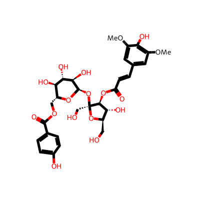 COc1cc(/C=C/C(=O)O[C@H]2[C@H](O)[C@@H](CO)O[C@@]2(CO)O[C@H]2O[C@H](COC(=O)c3ccc(O)cc3)[C@@H](O)[C@H](O)[C@H]2O)cc(OC)c1O